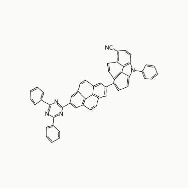 N#Cc1ccc2c3c1ccc1c(-c4cc5ccc6cc(-c7nc(-c8ccccc8)nc(-c8ccccc8)n7)cc7ccc(c4)c5c67)ccc(c13)n2-c1ccccc1